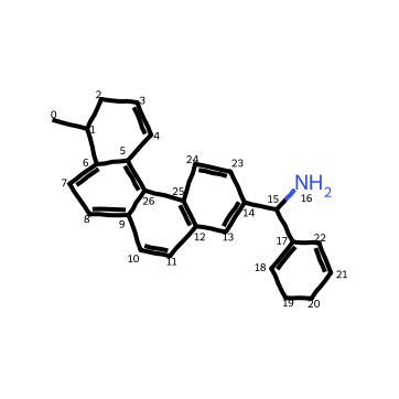 CC1CC=Cc2c1ccc1ccc3cc(C(N)C4=CCCC=C4)ccc3c21